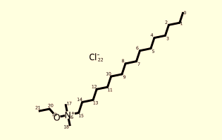 CCCCCCCCCCCCCCCC[N+](C)(C)OCC.[Cl-]